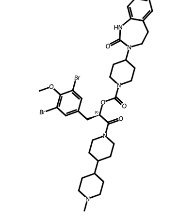 COc1c(Br)cc(C[C@@H](OC(=O)N2CCC(N3CCc4ccccc4NC3=O)CC2)C(=O)N2CCC(C3CCN(C)CC3)CC2)cc1Br